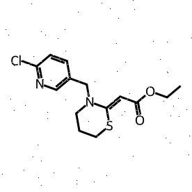 CCOC(=O)C=C1SCCCN1Cc1ccc(Cl)nc1